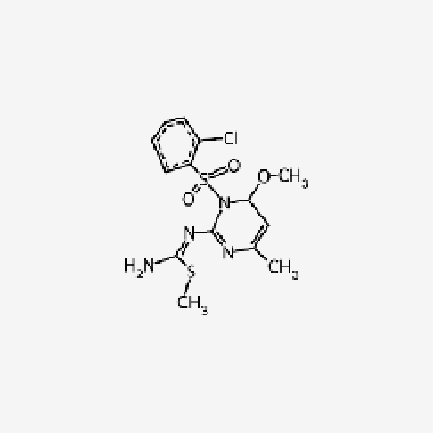 COC1C=C(C)N=C(N=C(N)SC)N1S(=O)(=O)c1ccccc1Cl